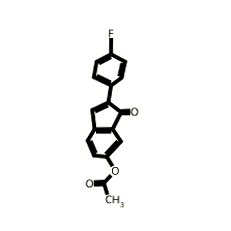 CC(=O)Oc1ccc2c(c1)C(=O)C(c1ccc(F)cc1)=C2